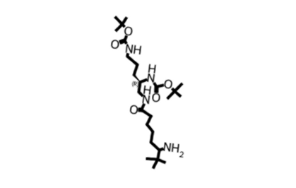 CC(C)(C)OC(=O)NCCC[C@H](CNC(=O)CCCCC(N)C(C)(C)C)NC(=O)OC(C)(C)C